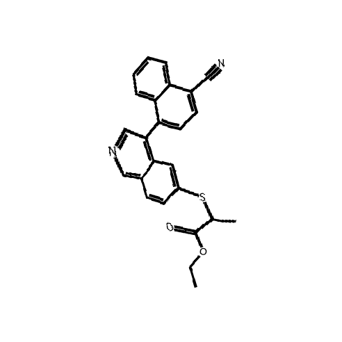 CCOC(=O)C(C)Sc1ccc2cncc(-c3ccc(C#N)c4ccccc34)c2c1